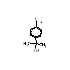 CC(C)([TeH])c1ccc(N)cc1